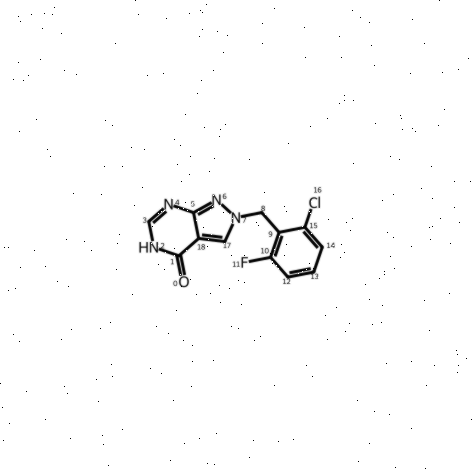 O=c1[nH]cnc2nn(Cc3c(F)cccc3Cl)cc12